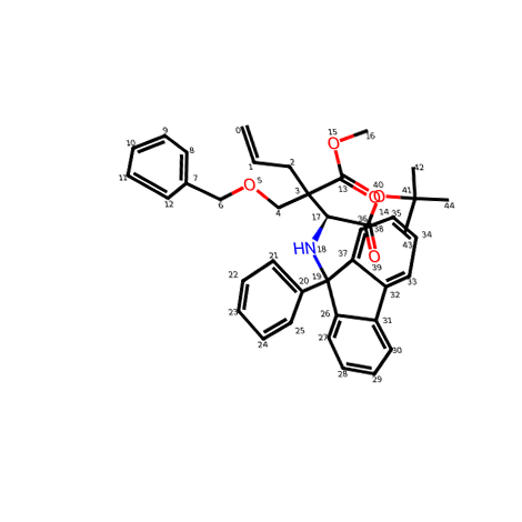 C=CCC(COCc1ccccc1)(C(=O)OC)[C@H](NC1(c2ccccc2)c2ccccc2-c2ccccc21)C(=O)OC(C)(C)C